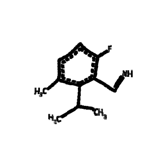 Cc1ccc(F)c(C=N)c1C(C)C